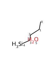 CCCC[SiH3].O